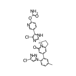 Cc1ccc(-n2cc(Cl)nn2)c(-c2cc3n(c(=O)c2)[C@H](c2nc(Cl)c(-c4ccc(OC(N)=O)nc4)[nH]2)CC3)c1